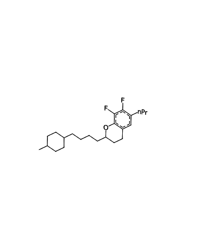 CCCc1cc2c(c(F)c1F)OC(CCCCC1CCC(C)CC1)CC2